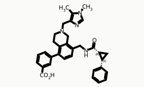 Cc1c(CN2CCc3c(-c4cccc(C(=O)O)c4)ccc(CNC(=O)[C@@H]4C[C@@H]4c4ccccc4)c3C2)ncn1C